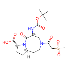 CC(C)(C)OC(=O)N[C@H]1CN(C(=O)CS(C)(=O)=O)CC[C@H]2CC[C@@H](C(=O)O)N2C1=O